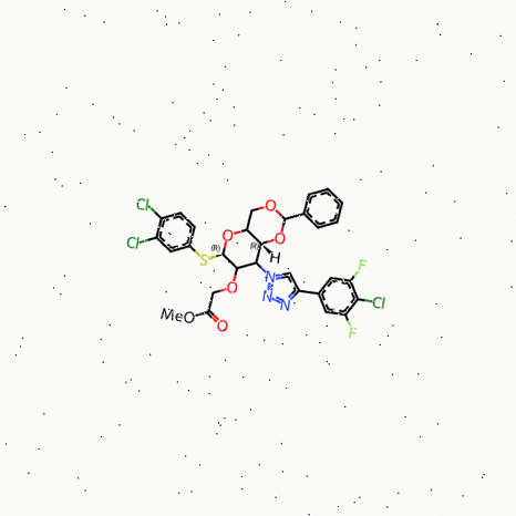 COC(=O)COC1C(n2cc(-c3cc(F)c(Cl)c(F)c3)nn2)[C@H]2OC(c3ccccc3)OCC2O[C@@H]1Sc1ccc(Cl)c(Cl)c1